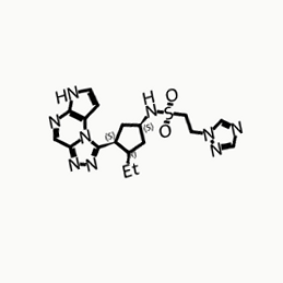 CC[C@@H]1C[C@H](NS(=O)(=O)CCn2cncn2)C[C@@H]1c1nnc2cnc3[nH]ccc3n12